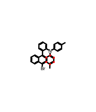 Cc1ccc(N(c2ccc(C)cc2)c2ccccc2-c2c3ccccc3c(Br)c3ccccc23)cc1